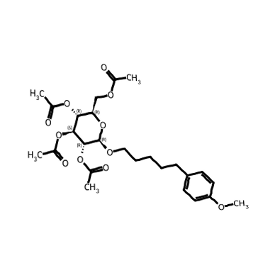 COc1ccc(CCCCCO[C@@H]2O[C@H](COC(C)=O)[C@@H](OC(C)=O)[C@H](OC(C)=O)[C@H]2OC(C)=O)cc1